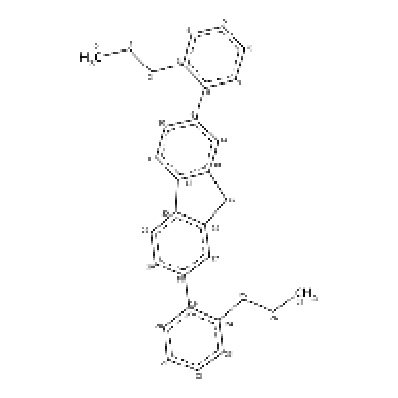 CCCc1ccccc1-c1ccc2c(c1)[CH]c1cc(-c3ccccc3CCC)ccc1-2